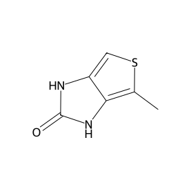 Cc1scc2[nH]c(=O)[nH]c12